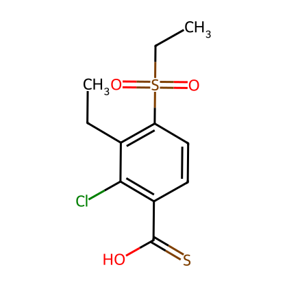 CCc1c(S(=O)(=O)CC)ccc(C(O)=S)c1Cl